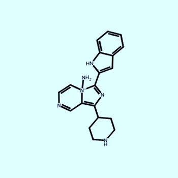 N[N+]12C=CN=CC1=C(C1CCNCC1)N=C2c1cc2ccccc2[nH]1